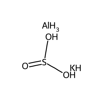 O=S(O)O.[AlH3].[KH]